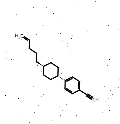 C#Cc1ccc([C@H]2CC[C@H](CCCC=C)CC2)cc1